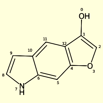 Oc1coc2cc3[nH]ccc3cc12